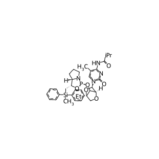 CC[C@@]12CO[C@@H](C1O[P@@]1O[C@H](C[Si](C)(c3ccccc3)c3ccccc3)[C@@H]3CCCN31)[C@H](n1cc(C)c(NC(=O)C(C)C)nc1=O)O2